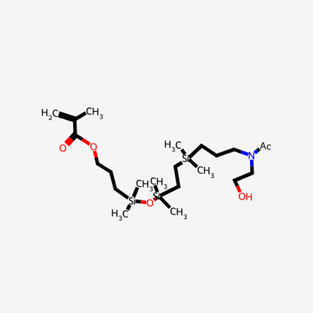 C=C(C)C(=O)OCCC[Si](C)(C)O[Si](C)(C)CC[Si](C)(C)CCCN(CCO)C(C)=O